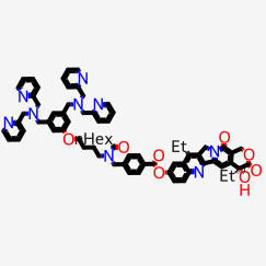 CCCCCCC(=O)N(CCCCOc1cc(CN(Cc2ccccn2)Cc2ccccn2)cc(CN(Cc2ccccn2)Cc2ccccn2)c1)Cc1ccc(C(=O)Oc2ccc3nc4c(c(CC)c3c2)Cn2c-4cc3c(c2=O)COC(=O)[C@]3(O)CC)cc1